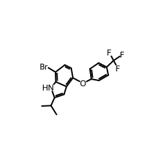 CC(C)c1cc2c(Oc3ccc(C(F)(F)F)cc3)ccc(Br)c2[nH]1